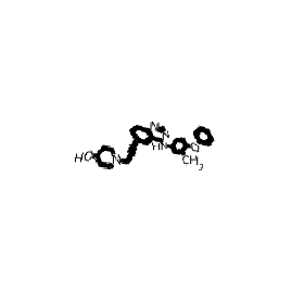 Cc1cc(Nc2ncnc3ccc(C#CCN4CCC(O)CC4)cc23)ccc1Oc1ccccc1